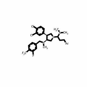 CC(=O)CCC(N(C)C)N1C[C@H](c2ccc(Cl)c(Cl)c2)[C@H](N(C)Cc2ccc(C(F)(F)F)c(F)c2)C1